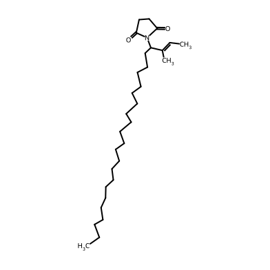 CC=C(C)C(CCCCCCCCCCCCCCCCCCCCC)N1C(=O)CCC1=O